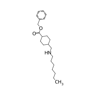 CCCCCCCNCC1CCC(C(=O)OCc2ccccc2)CC1